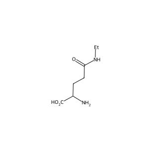 CCNC(=O)CCC(N)C(=O)O